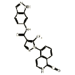 O=C=C1NC=Cc2c1cccc2-n1ncc(C(=O)Nc2ccc3cn[nH]c3c2)c1C(F)(F)F